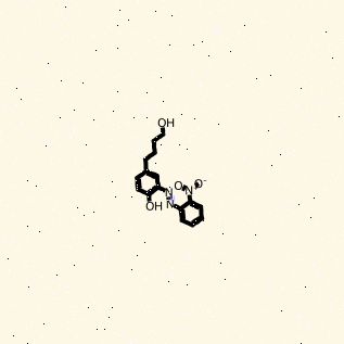 O=[N+]([O-])c1ccccc1/N=N/c1cc(CCCCO)ccc1O